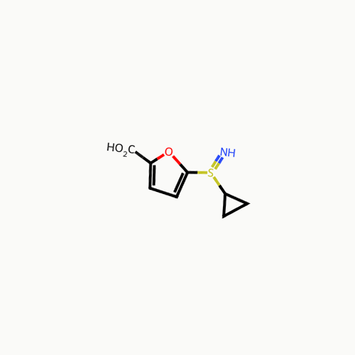 N=S(c1ccc(C(=O)O)o1)C1CC1